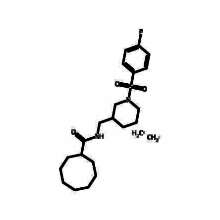 O=C(NCC1CCCN(S(=O)(=O)c2ccc(F)cc2)C1)[C]1CCCCCCC1.[CH2].[CH2]